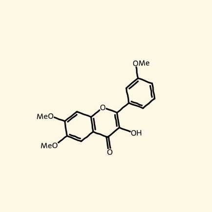 COc1cccc(-c2oc3cc(OC)c(OC)cc3c(=O)c2O)c1